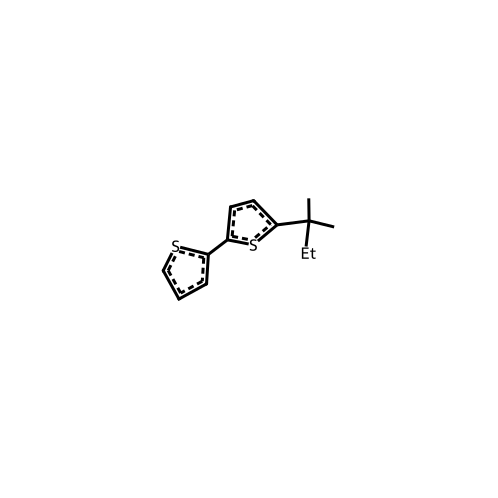 CCC(C)(C)c1ccc(-c2cccs2)s1